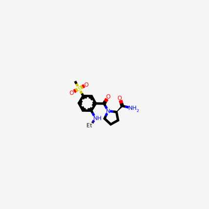 CCNc1ccc(S(C)(=O)=O)cc1C(=O)N1CCC[C@@H]1C(N)=O